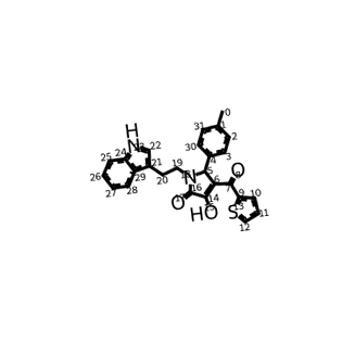 Cc1ccc(C2C(C(=O)c3cccs3)=C(O)C(=O)N2CCc2c[nH]c3ccccc23)cc1